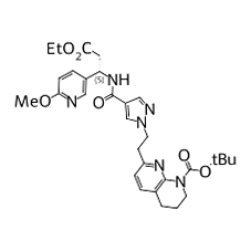 CCOC(=O)C[C@H](NC(=O)c1cnn(CCc2ccc3c(n2)N(C(=O)OC(C)(C)C)CCC3)c1)c1ccc(OC)nc1